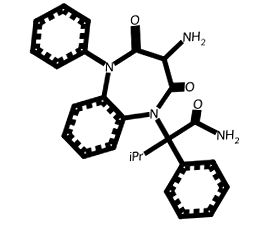 CC(C)C(C(N)=O)(c1ccccc1)N1C(=O)C(N)C(=O)N(c2ccccc2)c2ccccc21